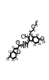 CCOCCn1c(Cl)c(/C=N/NC(=O)c2cc3cc(C)ccc3o2)c2ccc(OC)cc21